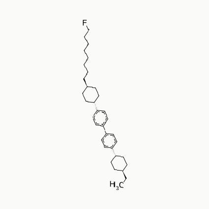 CC[C@H]1CC[C@H](c2ccc(-c3ccc([C@H]4CC[C@H](CCCCCCCCF)CC4)cc3)cc2)CC1